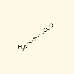 COCOCC/C=C/CCN